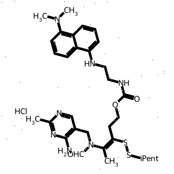 CCCC(C)SSC(CCOC(=O)NCCNc1cccc2c(N(C)C)cccc12)=C(C)N(C=O)Cc1cnc(C)nc1N.Cl